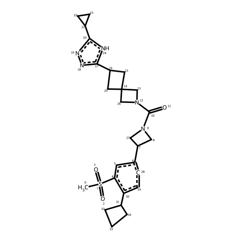 CS(=O)(=O)c1cc(C2CN(C(=O)N3CC4(CC(c5nnc(C6CC6)[nH]5)C4)C3)C2)ccc1C1CCC1